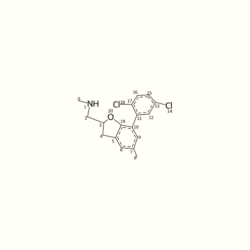 CNCC1Cc2cc(C)cc(-c3cc(Cl)ccc3Cl)c2O1